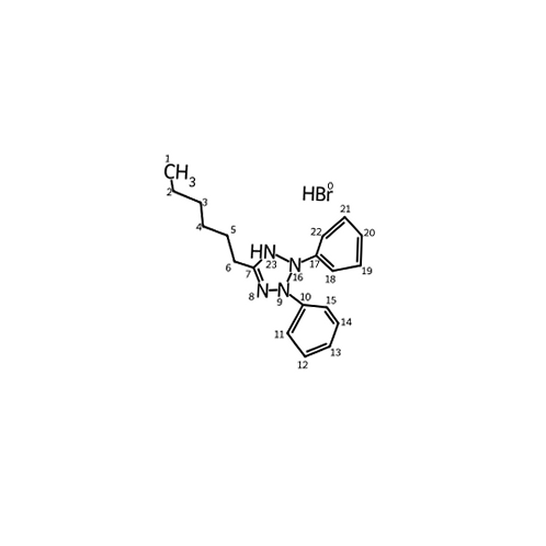 Br.CCCCCCC1=NN(c2ccccc2)N(c2ccccc2)N1